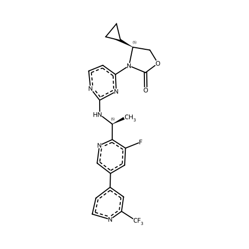 C[C@H](Nc1nccc(N2C(=O)OC[C@@H]2C2CC2)n1)c1ncc(-c2ccnc(C(F)(F)F)c2)cc1F